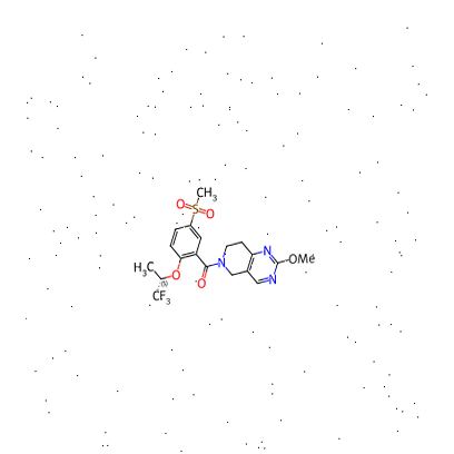 COc1ncc2c(n1)CCN(C(=O)c1cc(S(C)(=O)=O)ccc1O[C@@H](C)C(F)(F)F)C2